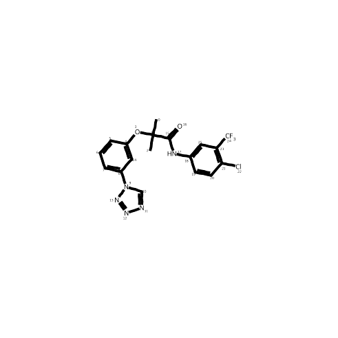 CC(C)(Oc1cccc(-n2cnnn2)c1)C(=O)Nc1ccc(Cl)c(C(F)(F)F)c1